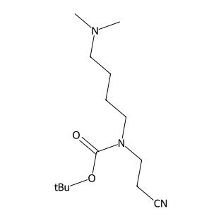 CN(C)CCCCN(CCC#N)C(=O)OC(C)(C)C